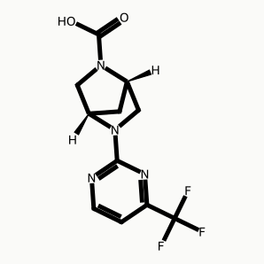 O=C(O)N1C[C@@H]2C[C@H]1CN2c1nccc(C(F)(F)F)n1